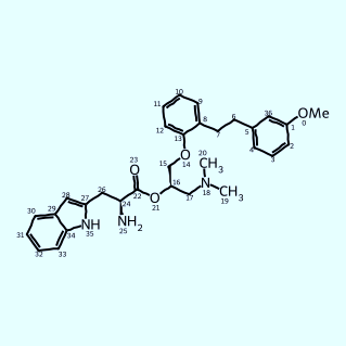 COc1cccc(CCc2ccccc2OC[C@@H](CN(C)C)OC(=O)[C@@H](N)Cc2cc3ccccc3[nH]2)c1